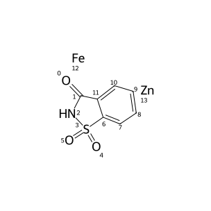 O=C1NS(=O)(=O)c2ccccc21.[Fe].[Zn]